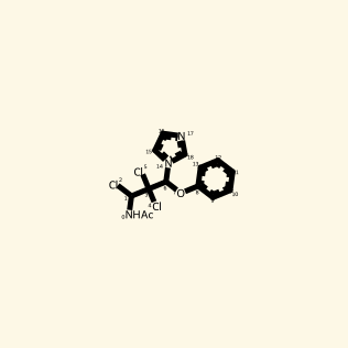 CC(=O)NC(Cl)C(Cl)(Cl)C(Oc1ccccc1)n1ccnc1